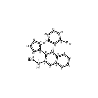 CCC(C)Nc1cc2ccccc2nc1-c1ccco1.Fc1ccccc1